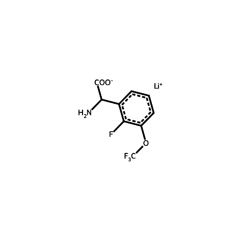 NC(C(=O)[O-])c1cccc(OC(F)(F)F)c1F.[Li+]